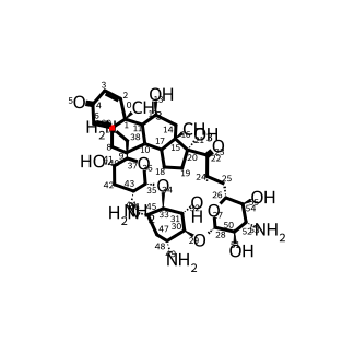 C[C@]12C=CC(=O)C=C1CCC1C2[C@@H](O)C[C@@]2(C)C1CC[C@]2(O)C(=O)[CH]C[C@H]1O[C@@H](O[C@@H]2[C@@H](O)[C@H](O[C@H]3O[C@H](CN)[C@@H](O)C[C@H]3N)[C@@H](N)C[C@H]2N)[C@H](O)[C@@H](N)[C@@H]1O